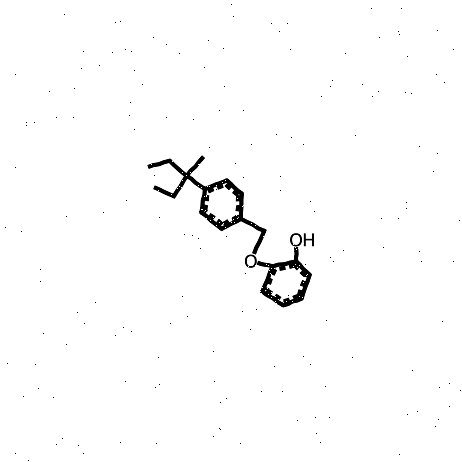 CCC(C)(CC)c1ccc(COc2ccccc2O)cc1